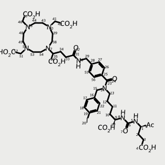 CC(=O)[C@@H](CCC(=O)O)NC(=O)N[C@H](CCCCN(Cc1ccc(I)cc1)C(=O)c1ccc(CNC(=O)CCC(C(=O)O)N2CCN(CC(=O)O)CCN(CC(=O)O)CCN(CC(=O)O)CC2)cc1)C(=O)O